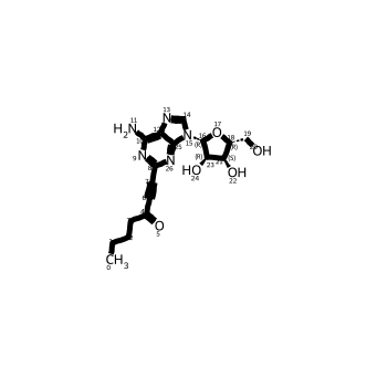 CCCCC(=O)C#Cc1nc(N)c2ncn([C@@H]3O[C@H](CO)[C@@H](O)[C@H]3O)c2n1